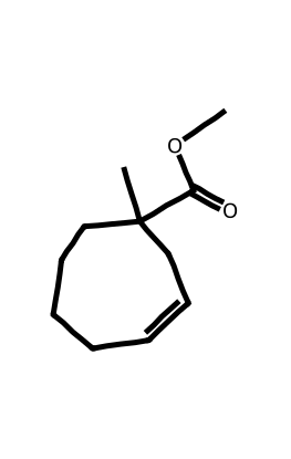 COC(=O)C1(C)CC=CCCCC1